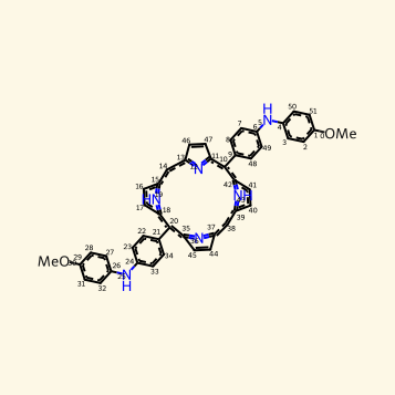 COc1ccc(Nc2ccc(-c3c4nc(cc5ccc([nH]5)c(-c5ccc(Nc6ccc(OC)cc6)cc5)c5nc(cc6ccc3[nH]6)C=C5)C=C4)cc2)cc1